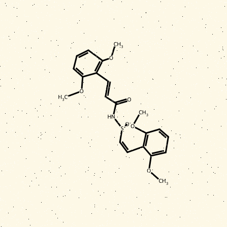 COc1cccc(OC)c1/C=C\[S+]([O-])NC(=O)/C=C/c1c(OC)cccc1OC